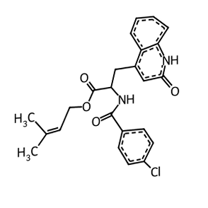 CC(C)=CCOC(=O)C(Cc1cc(=O)[nH]c2ccccc12)NC(=O)c1ccc(Cl)cc1